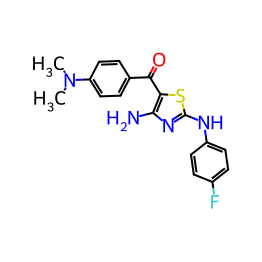 CN(C)c1ccc(C(=O)c2sc(Nc3ccc(F)cc3)nc2N)cc1